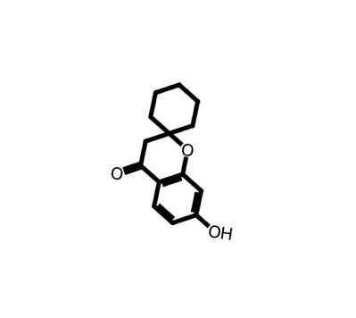 O=C1CC2(CCCCC2)Oc2cc(O)ccc21